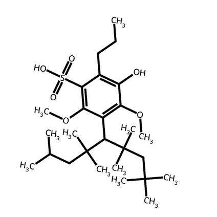 CCCc1c(O)c(OC)c(C(C(C)(C)CC(C)C)C(C)(C)CC(C)(C)C)c(OC)c1S(=O)(=O)O